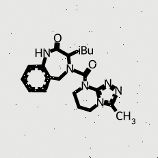 CCC(C)C1C(=O)Nc2ccccc2CN1C(=O)N1CCCn2c(C)nnc21